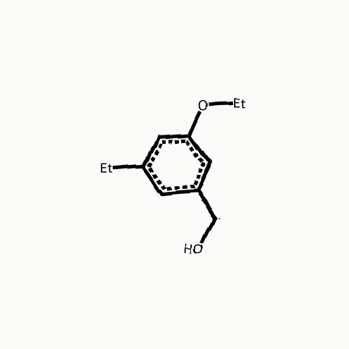 CCOc1cc([CH]O)cc(CC)c1